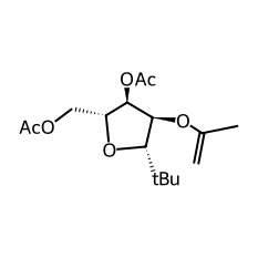 C=C(C)O[C@@H]1[C@H](OC(C)=O)[C@@H](COC(C)=O)O[C@H]1C(C)(C)C